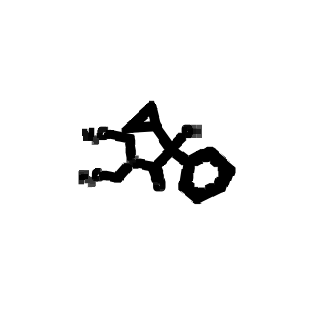 CCN(CC)C(=O)C(O)(c1ccccc1)C1CC1